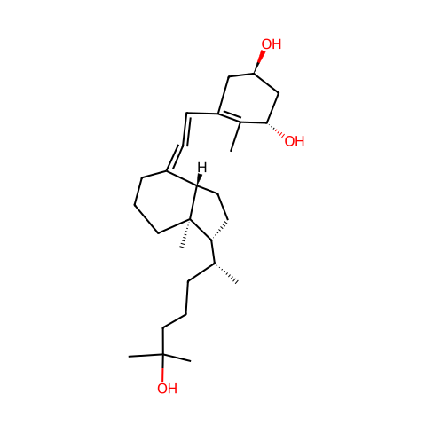 CC1=C(C=C=C2CCC[C@]3(C)[C@@H]([C@H](C)CCCC(C)(C)O)CC[C@@H]23)C[C@@H](O)C[C@@H]1O